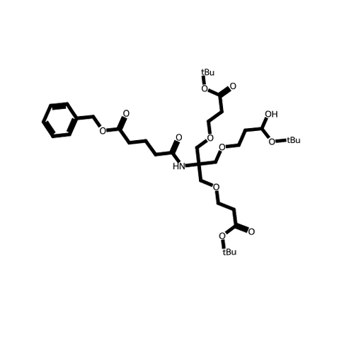 CC(C)(C)OC(=O)CCOCC(COCCC(=O)OC(C)(C)C)(COCCC(O)OC(C)(C)C)NC(=O)CCCC(=O)OCc1ccccc1